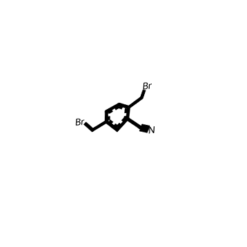 N#Cc1cc(CBr)ccc1CBr